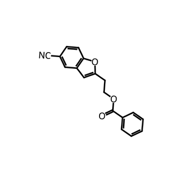 N#Cc1ccc2oc(CCOC(=O)c3ccccc3)cc2c1